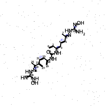 C=C\C(=C/C=C/C(C)=N/N/C(N)=N/O)NC(=O)NC(=C)/C=C\C(=C)/C(C)=N/NC(=N)NO